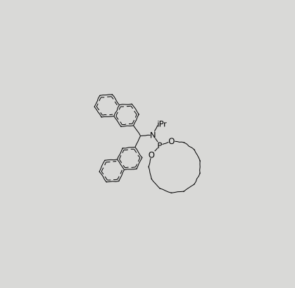 CC(C)N(C(c1ccc2ccccc2c1)c1ccc2ccccc2c1)P1OCCCCCCCCCCO1